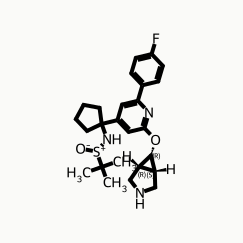 CC(C)(C)[S+]([O-])NC1(c2cc(O[C@@H]3[C@@H]4CNC[C@@H]43)nc(-c3ccc(F)cc3)c2)CCCC1